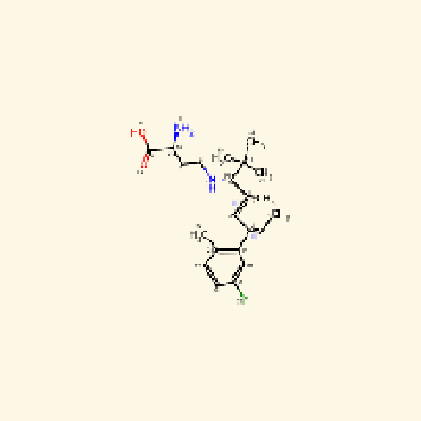 C/C=C(\C=C(/C)[C@H](NCC[C@H](N)C(=O)O)C(C)(C)C)c1cc(F)ccc1C